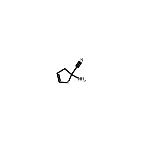 N#CC1(N)CC=CS1